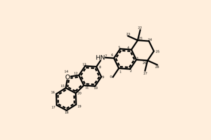 Cc1cc2c(cc1Nc1ccc3c(c1)oc1ccccc13)C(C)(C)CCC2(C)C